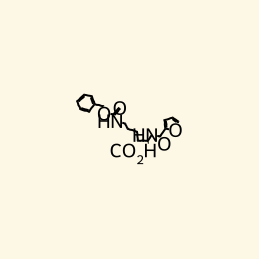 O=C(NCCCC[C@H](NC(=O)c1ccco1)C(=O)O)OCc1ccccc1